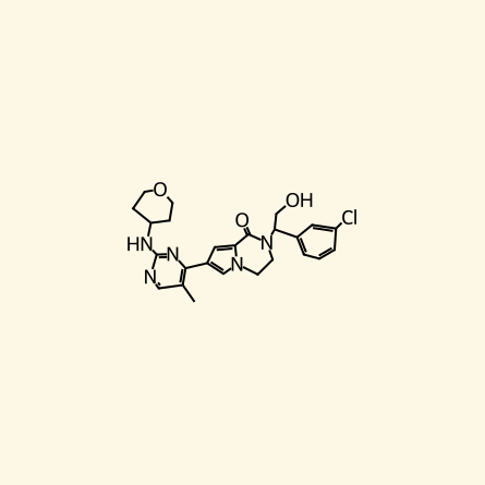 Cc1cnc(NC2CCOCC2)nc1-c1cc2n(c1)CCN(C(CO)c1cccc(Cl)c1)C2=O